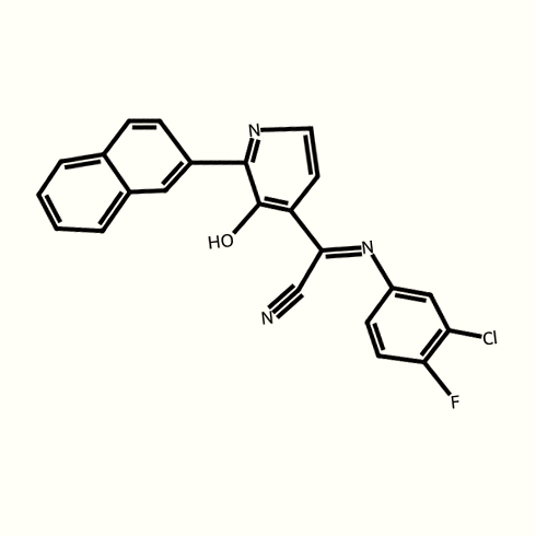 N#C/C(=N\c1ccc(F)c(Cl)c1)c1ccnc(-c2ccc3ccccc3c2)c1O